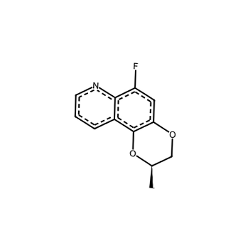 [CH2][C@@H]1COc2cc(F)c3ncccc3c2O1